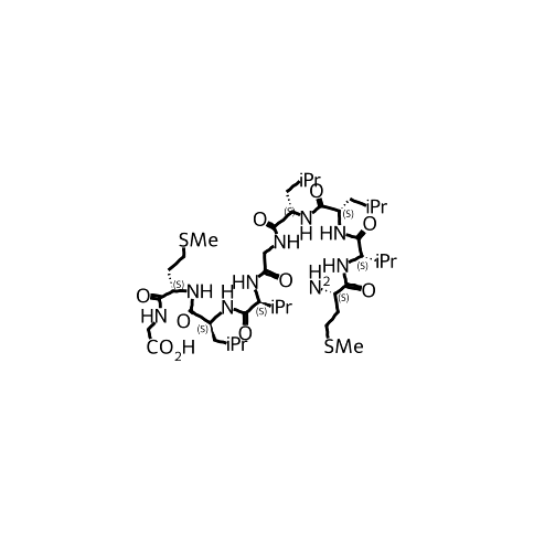 CSCC[C@H](NC(=O)[C@H](CC(C)C)NC(=O)[C@@H](NC(=O)CNC(=O)[C@H](CC(C)C)NC(=O)[C@H](CC(C)C)NC(=O)[C@@H](NC(=O)[C@@H](N)CCSC)C(C)C)C(C)C)C(=O)NCC(=O)O